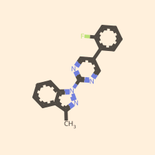 Cc1nn(-c2ncc(-c3ccccc3F)cn2)c2c[c]ccc12